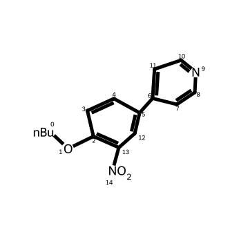 CCCCOc1ccc(-c2ccncc2)cc1[N+](=O)[O-]